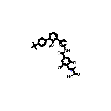 COc1c(-c2ccc(C(C)(C)C)cc2)cccc1-c1csc(NC(=O)c2cc(Cl)c(/C=C(\C)C(=O)O)c(Cl)c2)n1